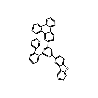 c1cncc(-c2ccccc2-c2nc(-c3ccc4oc5ccccc5c4c3)cc(-c3ccc4c5ccccc5c5ccccc5c4c3)n2)c1